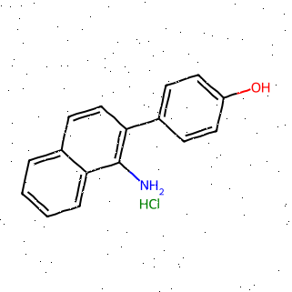 Cl.Nc1c(-c2ccc(O)cc2)ccc2ccccc12